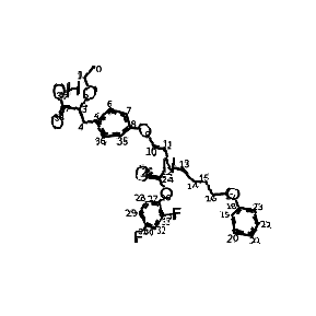 CCOC(Cc1ccc(OCCN(CCCCOc2ccccc2)C(=O)Oc2ccc(F)cc2F)cc1)C(=O)O